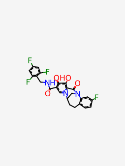 O=C(NCc1c(F)cc(F)cc1F)c1cn2c(c(O)c1=O)C(=O)N1CC2CCc2ccc(F)cc21